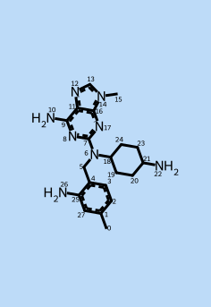 Cc1ccc(CN(c2nc(N)c3ncn(C)c3n2)C2CCC(N)CC2)c(N)c1